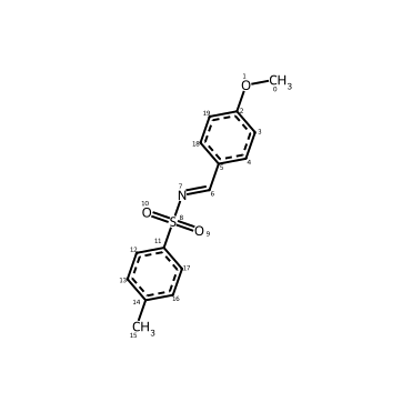 COc1ccc(C=NS(=O)(=O)c2ccc(C)cc2)cc1